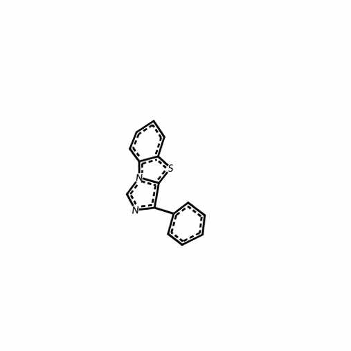 c1ccc(-c2ncn3c2sc2ccccc23)cc1